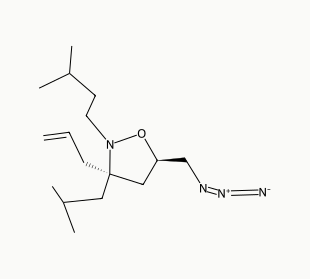 C=CC[C@@]1(CC(C)C)C[C@H](CN=[N+]=[N-])ON1CCC(C)C